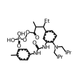 CCC(c1ccc(N(CC(C)C)CC(C)C)c(NC(=O)Nc2ccc(C)cc2)c1)C(C)C(=O)OOP(=O)(O)O